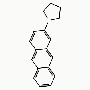 [c]1c(N2CCCC2)ccc2cc3ccccc3cc12